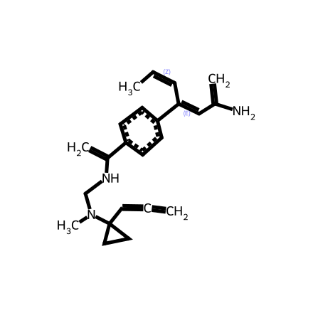 C=C=CC1(N(C)CNC(=C)c2ccc(C(/C=C\C)=C/C(=C)N)cc2)CC1